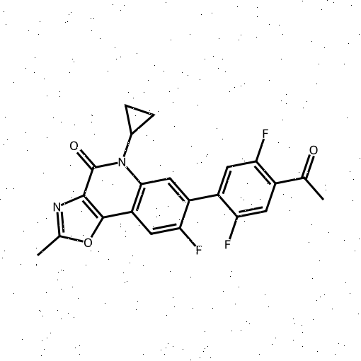 CC(=O)c1cc(F)c(-c2cc3c(cc2F)c2oc(C)nc2c(=O)n3C2CC2)cc1F